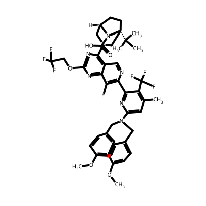 COc1ccc(CN(Cc2ccc(OC)cc2)c2cc(C)c(C(F)(F)F)c(-c3ncc4c(N5C[C@@H]6CC[C@@](C(C)(C)C)(C5)N6C(=O)O)nc(OCC(F)(F)F)nc4c3F)n2)cc1